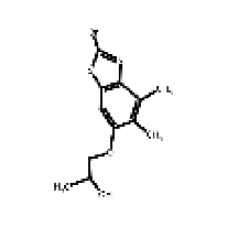 Cc1c(OCC(C)O)cc2sc(Br)nc2c1C